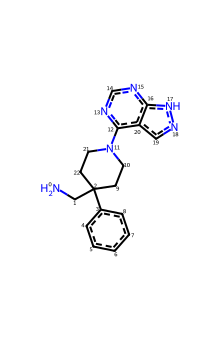 NCC1(c2ccccc2)CCN(c2ncnc3[nH]ncc23)CC1